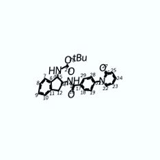 CC(C)(C)OC(=O)N[C@@H]1c2ccccc2C[C@@H]1NC(=O)c1ccc(-n2ccccc2=O)cc1